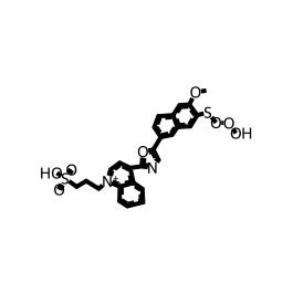 COc1cc2ccc(-c3cnc(-c4cc[n+](CCCS(=O)(=O)O)c5ccccc45)o3)cc2cc1SOOO